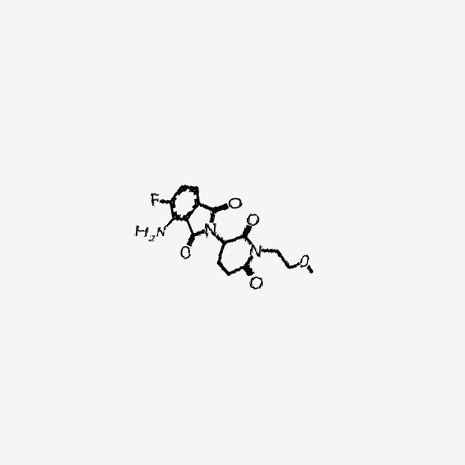 COCCN1C(=O)CCC(N2C(=O)c3ccc(F)c(N)c3C2=O)C1=O